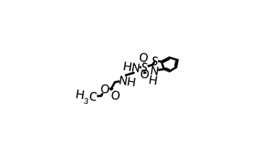 CCOC(=O)CNCCNS(=O)(=O)C1Nc2ccccc2S1